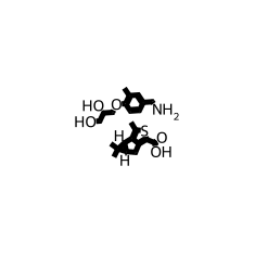 Cc1cc(CN)ccc1OC[C@H](O)CO.Cc1sc(C(=O)O)c2c1[C@H]1[C@@H](C2)C1(C)C